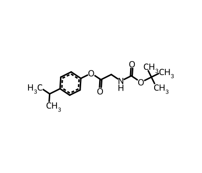 CC(C)c1ccc(OC(=O)CNC(=O)OC(C)(C)C)cc1